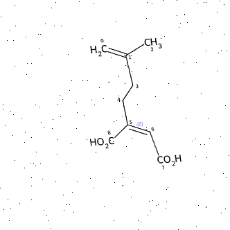 C=C(C)CC/C(=C/C(=O)O)C(=O)O